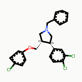 Clc1ccc(OC[C@@H]2CN(Cc3ccccc3)C[C@@H]2c2ccc(Cl)c(Cl)c2)cc1